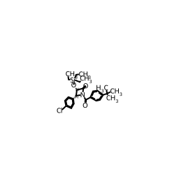 CC[Si](CC)(CC)O[C@@H]1C(=O)N(C(=O)c2ccc(C(C)(C)C)cc2)[C@@H]1c1ccc(Cl)cc1